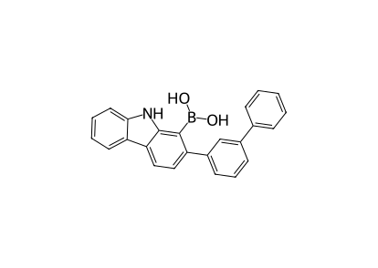 OB(O)c1c(-c2cccc(-c3ccccc3)c2)ccc2c1[nH]c1ccccc12